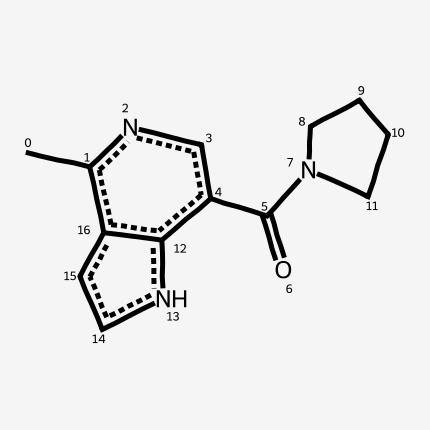 Cc1ncc(C(=O)N2CCCC2)c2[nH]ccc12